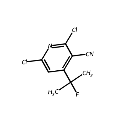 CC(C)(F)c1cc(Cl)nc(Cl)c1C#N